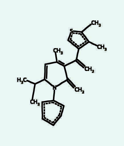 C=C(C1=C(C)C=C(C(C)C)N(c2ccccc2)C1=C)c1csc(C)c1C